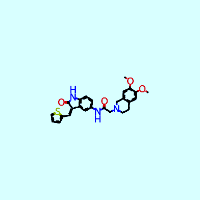 COc1cc2c(cc1OC)CN(CC(=O)Nc1ccc3c(c1)/C(=C/c1cccs1)C(=O)N3)CC2